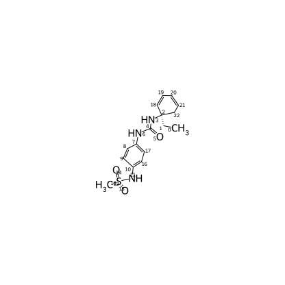 CC[C@]1(NC(=O)Nc2ccc(NS(C)(=O)=O)cc2)C=CC=CC1